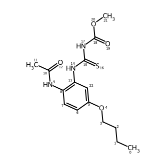 CCCCOc1ccc(NC(C)=O)c(NC(=S)NC(=O)OC)c1